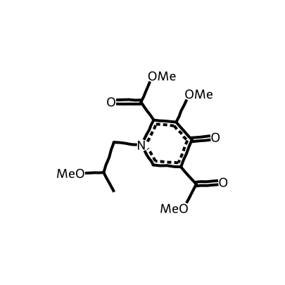 COC(=O)c1cn(CC(C)OC)c(C(=O)OC)c(OC)c1=O